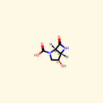 O=C1N[C@H]2[C@@H]1N(C(=O)O)C[C@@H]2O